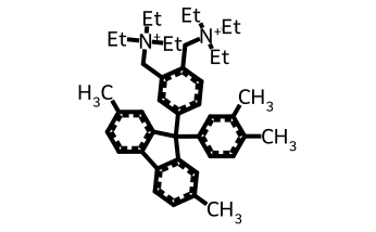 CC[N+](CC)(CC)Cc1ccc(C2(c3ccc(C)c(C)c3)c3cc(C)ccc3-c3ccc(C)cc32)cc1C[N+](CC)(CC)CC